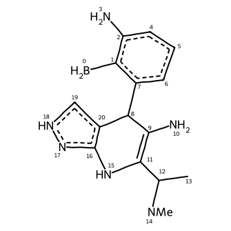 Bc1c(N)cccc1C1C(N)=C(C(C)NC)Nc2n[nH]cc21